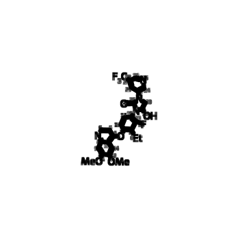 CCc1c(Oc2ccnc3cc(OC)c(OC)cc23)ccc(N2C(=O)N(c3cncc(C(F)(F)F)c3)CC2O)c1F